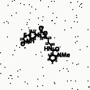 CNc1ccccc1C(=O)NCCC[C@H]1CN(c2ccc3c(c2)NC(=O)CS3)C(=O)O1